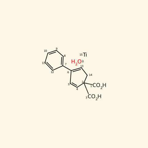 O.O=C(O)C1(C(=O)O)C=CC(c2ccccc2)=CC1.[Ti]